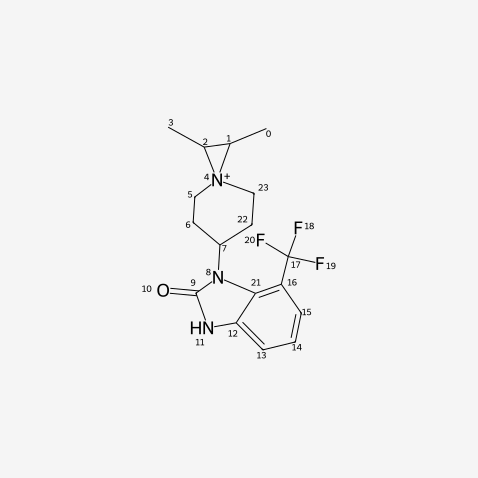 CC1C(C)[N+]12CCC(n1c(=O)[nH]c3cccc(C(F)(F)F)c31)CC2